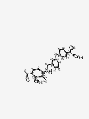 CC(=O)c1ccc(NCc2cccc(Cc3ccc(C(=O)O)cc3)c2)c(C)c1O